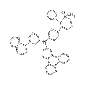 CC12C=CC=C(c3ccc(N(c4cccc(-c5cccc6ccccc56)c4)c4ccc5c6ccccc6c6ccccc6c5c4)cc3)C1c1ccccc1O2